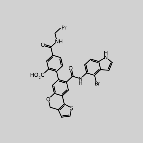 CC(C)CNC(=O)c1ccc(-c2cc3c(cc2C(=O)Nc2ccc4[nH]ccc4c2Br)-c2sccc2CO3)c(C(=O)O)c1